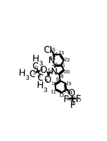 CC(C)(C)OC(=O)n1c(-c2cccc(OC(F)(F)F)c2)cc2ccc(Cl)nc21